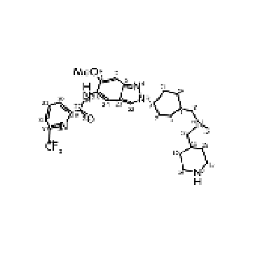 COc1cc2nn([C@H]3CC[C@H](CN(C)CC4CCNCC4)CC3)cc2cc1NC(=O)c1cccc(C(F)(F)F)n1